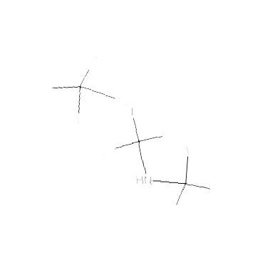 CC(I)(I)I.IC(I)(I)NC(I)(I)I